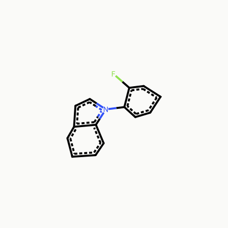 Fc1ccccc1-n1ccc2ccccc21